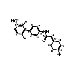 Cc1cc[n+](O)c(C)c1-c1ccc(NC(=O)/C=C2/CC=C(F)CC2)cc1